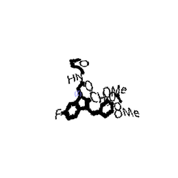 COC1=CC(=CC2=C(C)/C(=C\C(=O)NCc3ccco3)c3cc(F)ccc32)C=C(OC)C12OCCO2